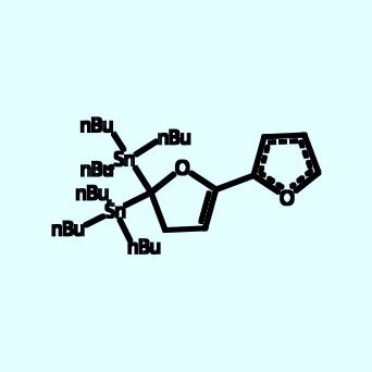 CCC[CH2][Sn]([CH2]CCC)([CH2]CCC)[C]1([Sn]([CH2]CCC)([CH2]CCC)[CH2]CCC)CC=C(c2ccco2)O1